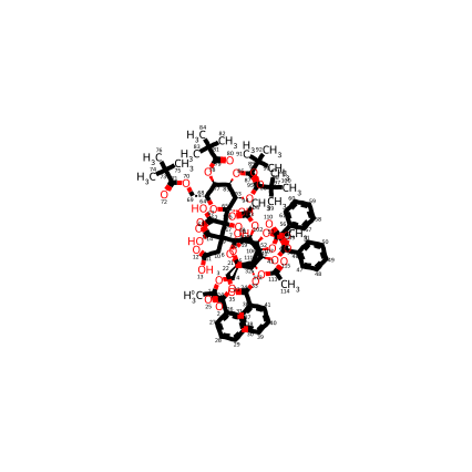 CC(=O)OC[C@H]1O[C@](O)(C(CC(=O)O)(C(=O)O)C(O[C@H]2O[C@H](COC(=O)c3ccccc3)[C@@H](OC(=O)c3ccccc3)[C@H](OC(=O)c3ccccc3)[C@@H]2OC(=O)c2ccccc2)(C(=O)O)[C@@]2(O)O[C@H](COC(=O)C(C)(C)C)[C@@H](OC(=O)C(C)(C)C)[C@H](OC(=O)C(C)(C)C)[C@@H]2OC(=O)C(C)(C)C)[C@@H](OC(C)=O)[C@@H](OC(C)=O)[C@@H]1OC(C)=O